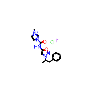 CC(Cc1ccccc1)[n+]1cc(NC(=O)n2cc[n+](C)c2)on1.[Cl-].[I-]